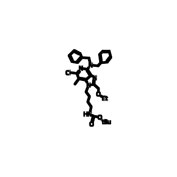 CCOCc1nc2c(N(Cc3ccccc3)Cc3ccccc3)nc(Cl)c(C)c2n1CCCCNC(=O)OC(C)(C)C